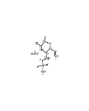 CO[C@@H]1C(F)C(C)CC(C=N)C1NCC(C)(C)O